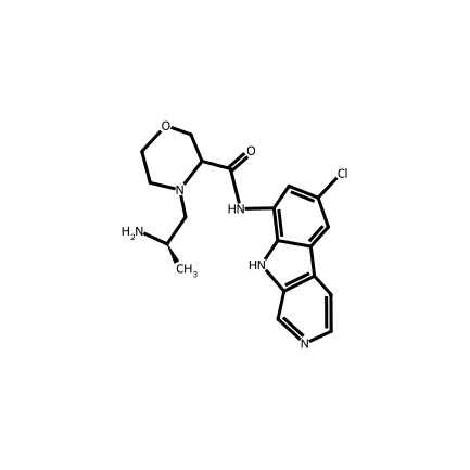 C[C@@H](N)CN1CCOCC1C(=O)Nc1cc(Cl)cc2c1[nH]c1cnccc12